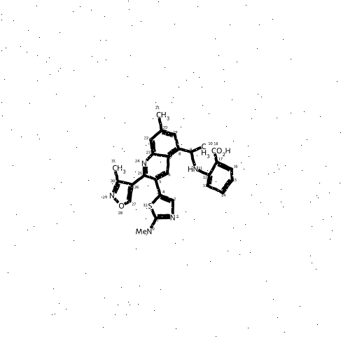 CNc1ncc(-c2cc3c(C(C)Nc4ccccc4C(=O)O)cc(C)cc3nc2-c2conc2C)s1